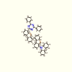 c1ccc(-c2nc(-c3ccccc3)nc(-c3cccc4c3sc3c(-c5cccc6sc7c(-n8c9ccccc9c9ccccc98)cccc7c56)cccc34)n2)cc1